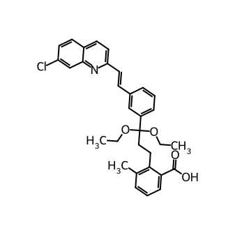 CCOC(CCc1c(C)cccc1C(=O)O)(OCC)c1cccc(C=Cc2ccc3ccc(Cl)cc3n2)c1